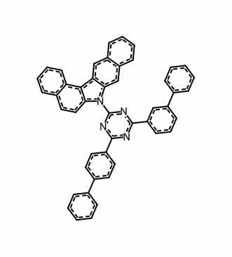 c1ccc(-c2ccc(-c3nc(-c4cccc(-c5ccccc5)c4)nc(-n4c5cc6ccccc6cc5c5c6ccccc6ccc54)n3)cc2)cc1